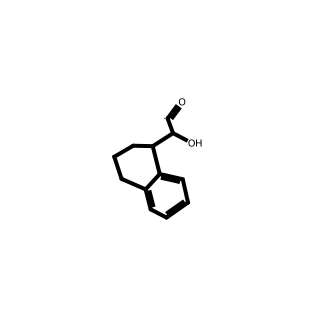 O=[C]C(O)C1CCCc2ccccc21